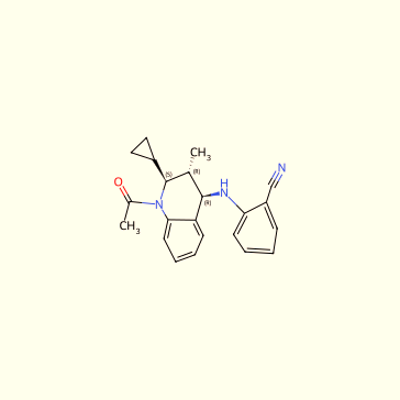 CC(=O)N1c2ccccc2[C@H](Nc2ccccc2C#N)[C@@H](C)[C@@H]1C1CC1